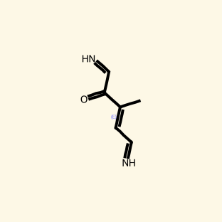 C/C(=C\C=N)C(=O)C=N